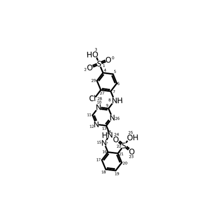 O=S(=O)(O)c1ccc(Nc2ncnc(N[N]c3ccccc3S(=O)(=O)O)n2)c(Cl)c1